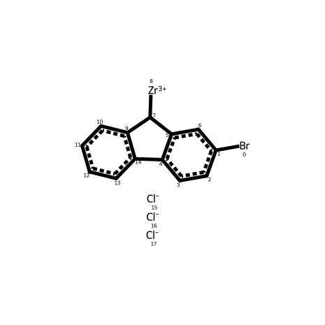 Brc1ccc2c(c1)[CH]([Zr+3])c1ccccc1-2.[Cl-].[Cl-].[Cl-]